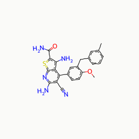 COc1ccc(-c2c(C#N)c(N)nc3sc(C(N)=O)c(N)c23)cc1Cc1cccc(C)c1